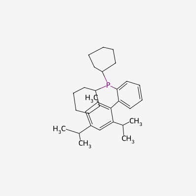 Cc1cc(C(C)C)cc(C(C)C)c1-c1ccccc1P(C1CCCCC1)C1CCCCC1